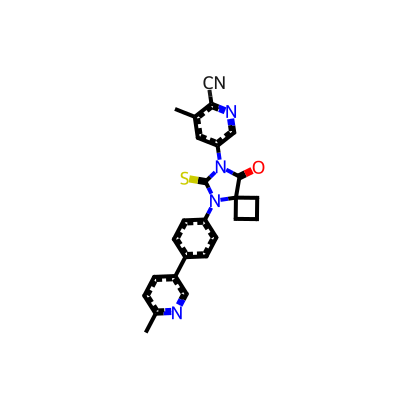 Cc1ccc(-c2ccc(N3C(=S)N(c4cnc(C#N)c(C)c4)C(=O)C34CCC4)cc2)cn1